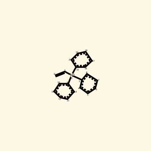 C=C[N+](c1ccccc1)(c1ccccc1)c1ccccc1